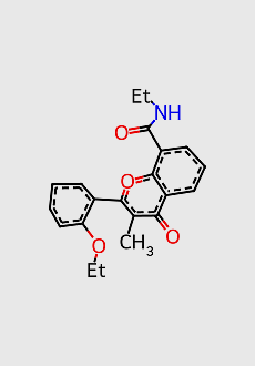 CCNC(=O)c1cccc2c(=O)c(C)c(-c3ccccc3OCC)oc12